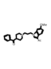 COc1ccc2c(C(C)=O)cn(CCCN3CCC(C(=O)c4ccccc4)CC3)c2c1